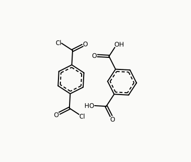 O=C(Cl)c1ccc(C(=O)Cl)cc1.O=C(O)c1cccc(C(=O)O)c1